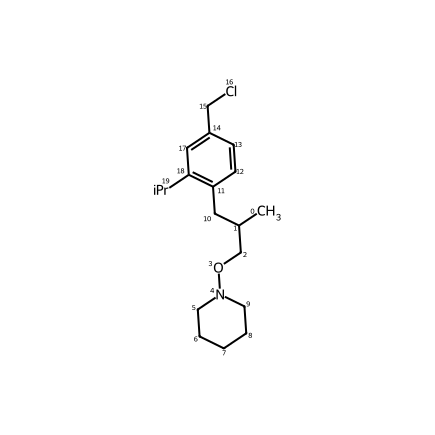 CC(CON1CCCCC1)Cc1ccc(CCl)cc1C(C)C